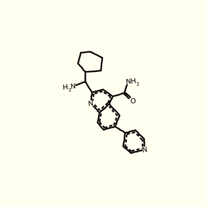 NC(=O)c1cc(C(N)C2CCCCC2)nc2ccc(-c3ccncc3)cc12